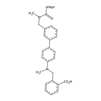 CCCCCCCC(=O)N(C)Cc1cccc(-c2ccc(N(C)Cc3ccccc3C(=O)O)cc2)c1